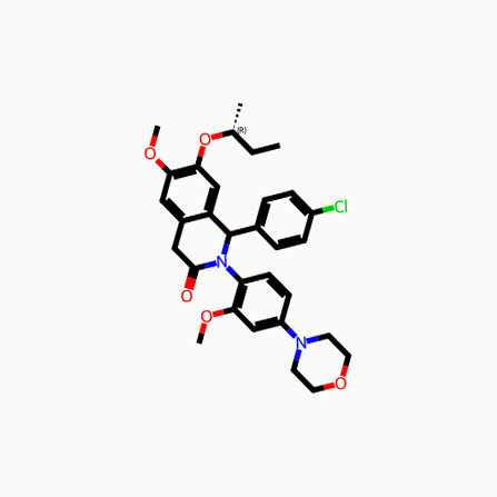 CC[C@@H](C)Oc1cc2c(cc1OC)CC(=O)N(c1ccc(N3CCOCC3)cc1OC)C2c1ccc(Cl)cc1